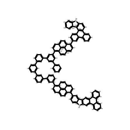 c1ccc(-c2cc(-c3cccc(-c4cccc(-c5cccc(-c6cccc(-c7ccc8ccc9c(-c%10ccc%11sc%12cc%13c%14ccccc%14c%14ccccc%14c%13cc%12c%11c%10)ccc%10ccc7c8c%109)c6)c5)c4)c3)cc(-c3ccc4ccc5c(-c6ccc7c(c6)c6ccccc6c6ccc8sc9ccccc9c8c67)ccc6ccc3c4c65)c2)cc1